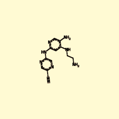 C#Cc1cnc(Nc2cc(NCCN)c(N)cn2)cn1